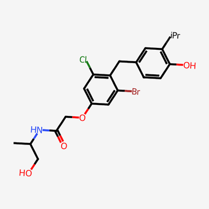 CC(CO)NC(=O)COc1cc(Cl)c(Cc2ccc(O)c(C(C)C)c2)c(Br)c1